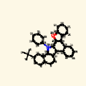 CC(C)(C)c1ccc2ccc3c4c5ccccc5c5c6ccccc6oc5c4n(-c4ccccc4)c3c2c1